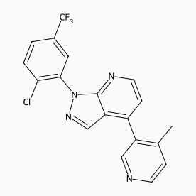 Cc1ccncc1-c1ccnc2c1cnn2-c1cc(C(F)(F)F)ccc1Cl